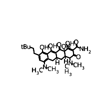 CN(C)c1cc(CCC(C)(C)C)c(O)c2c1C[C@H]1C[C@H]3[C@H](N(C)C)C(=O)C(C(N)=O)=C(O)[C@@]3(O)C(=O)C1=C2O